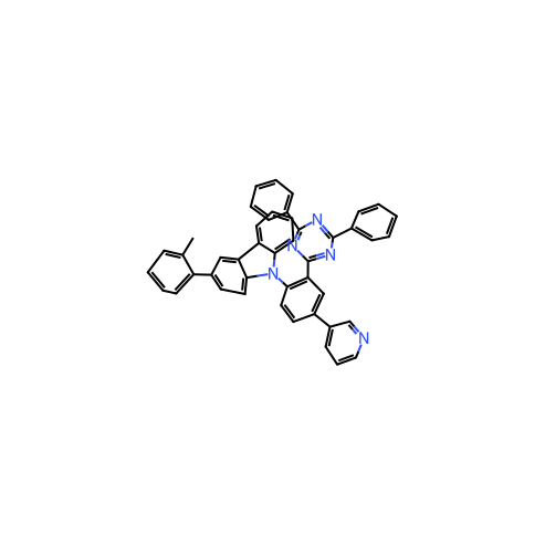 Cc1ccccc1-c1ccc2c(c1)c1ccccc1n2-c1ccc(-c2cccnc2)cc1-c1nc(-c2ccccc2)nc(-c2ccccc2)n1